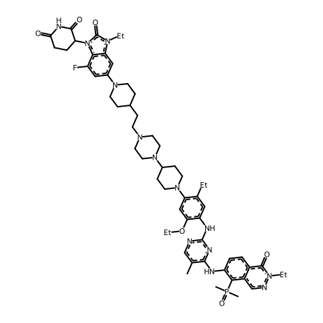 CCOc1cc(N2CCC(N3CCN(CCC4CCN(c5cc(F)c6c(c5)n(CC)c(=O)n6C5CCC(=O)NC5=O)CC4)CC3)CC2)c(CC)cc1Nc1ncc(C)c(Nc2ccc3c(=O)n(CC)ncc3c2P(C)(C)=O)n1